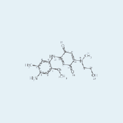 COc1cc(N)c(C)cc1NC1=CC(=O)C(N(C)CCO)=CC1=O